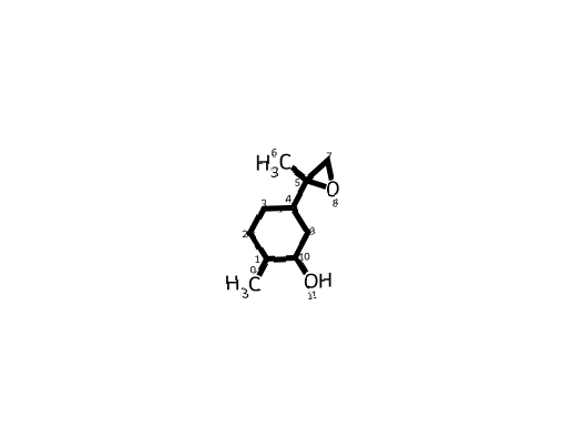 CC1CCC(C2(C)CO2)CC1O